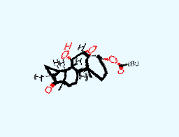 CC(C)(C)C(=O)O[C@H]1CC[C@]2(C)[C@H]3CC[C@]4(C)C(=O)[C@H]5C[C@H]5[C@H]4[C@@H]3[C@@H](O)[C@H]3O[C@]32C1